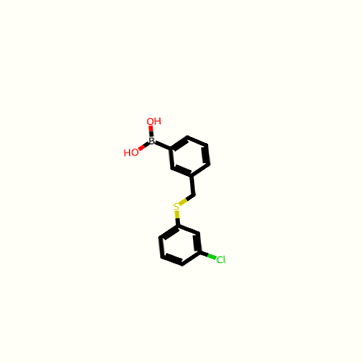 OB(O)c1cccc(CSc2cccc(Cl)c2)c1